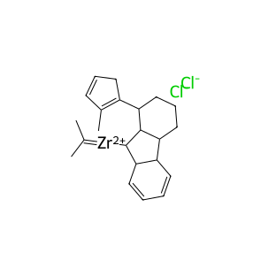 C[C](C)=[Zr+2][CH]1C2C=CC=CC2C2CCCC(C3=C(C)C=CC3)C21.[Cl-].[Cl-]